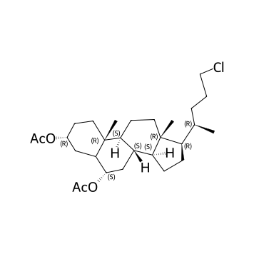 CC(=O)O[C@@H]1CC[C@@]2(C)C(C1)[C@@H](OC(C)=O)C[C@H]1[C@@H]3CC[C@H]([C@H](C)CCCCl)[C@@]3(C)CC[C@@H]12